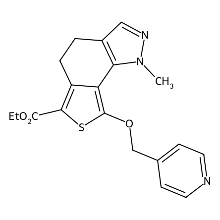 CCOC(=O)c1sc(OCc2ccncc2)c2c1CCc1cnn(C)c1-2